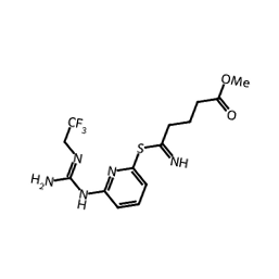 COC(=O)CCCC(=N)Sc1cccc(NC(N)=NCC(F)(F)F)n1